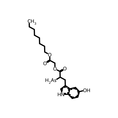 CCCCCCCCOC(=O)COC(=O)C([AsH2])Cc1c[nH]c2ccc(O)cc12